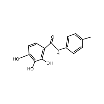 Cc1ccc(NC(=O)c2ccc(O)c(O)c2O)cc1